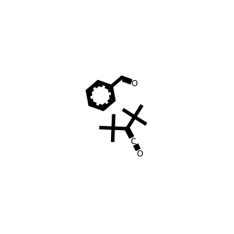 CC(C)(C)C(=C=O)C(C)(C)C.O=Cc1ccccc1